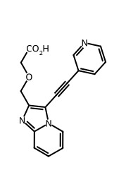 O=C(O)COCc1nc2ccccn2c1C#Cc1cccnc1